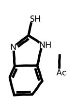 CC(C)=O.Sc1nc2ccccc2[nH]1